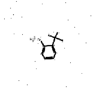 CC(C)(C)c1ccccc1Br.P